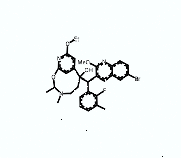 CCOc1cc2cc(n1)OC(C)N(C)CCC2(O)C(c1cc2cc(Br)ccc2nc1OC)c1cccc(C)c1F